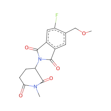 COCc1cc2c(cc1F)C(=O)N(C1CCC(=O)N(C)C1=O)C2=O